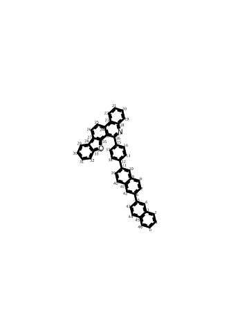 c1ccc2cc(-c3ccc4cc(-c5ccc(-c6nc7ccccc7c7ccc8c9ccccc9oc8c67)cc5)ccc4c3)ccc2c1